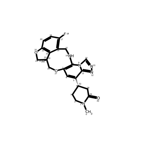 CN1CC[C@H](c2cc3c(n4cnnc24)NCc2c(F)ccc4c2[C@@H](CO4)CO3)CC1=O